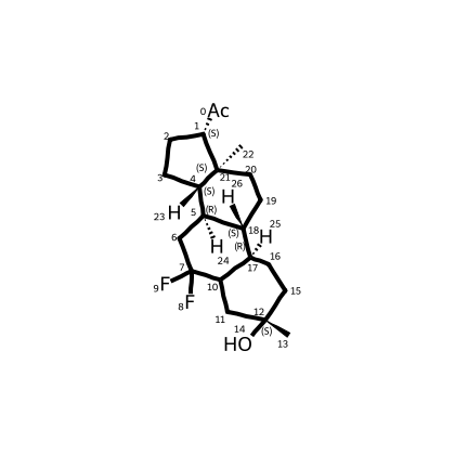 CC(=O)[C@H]1CC[C@H]2[C@@H]3CC(F)(F)C4C[C@@](C)(O)CC[C@@H]4[C@H]3CC[C@]12C